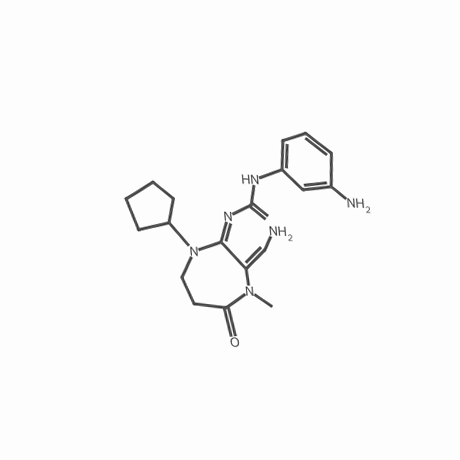 C=C(/N=C1\C(=C/N)N(C)C(=O)CCN1C1CCCC1)Nc1cccc(N)c1